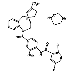 C1CNCCN1.COc1cc(C(=O)N2CC[C@]3(C=C(C(=O)O)CC3)Cc3ccccc32)ccc1NC(=O)c1cc(F)ccc1Cl